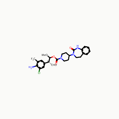 COC(OC(=O)N1CCC(N2CCc3ccccc3NC2=O)CC1)[C@H](C=O)c1cc(Cl)c(N)c(C(F)(F)F)c1